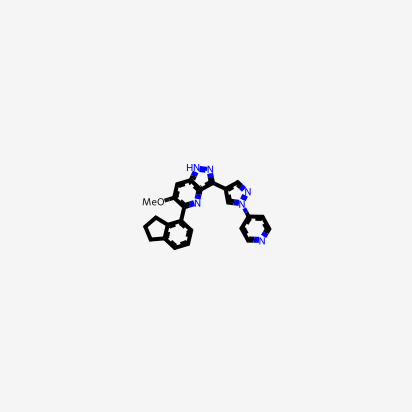 COc1cc2[nH]nc(-c3cnn(-c4ccncc4)c3)c2nc1-c1cccc2c1CCC2